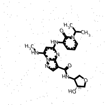 CNc1cc(Nc2cccn(C(C)C)c2=O)nc2c(C(=O)NC3COC[C@@H]3O)cnn12